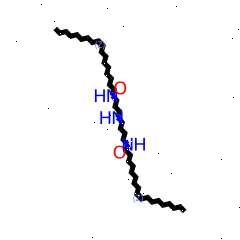 CCCCCCCC/C=C\CCCCCCCC(=O)NCCCCNCCCNC(=O)CCCCCCC/C=C\CCCCCCCC